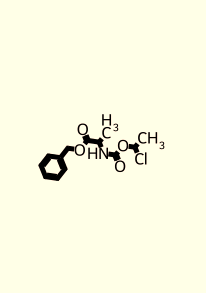 CC(Cl)OC(=O)NC(C)C(=O)OCc1ccccc1